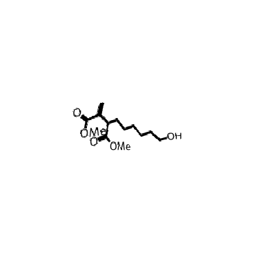 C=C(C(=O)OC)C(CCCCCCO)C(=O)OC